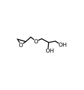 OCC(O)COCC1CO1